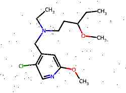 CCC(CCN(CC)Cc1cc(OC)ncc1Cl)OC